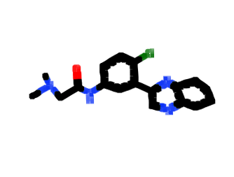 CN(C)CC(=O)Nc1ccc(Cl)c(-c2cnc3ccccc3n2)c1